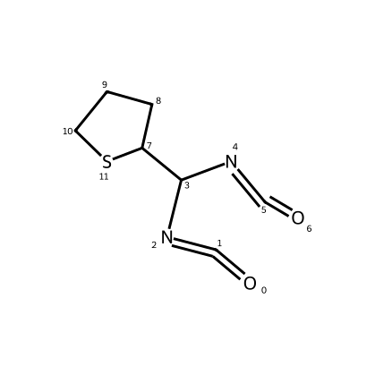 O=C=NC(N=C=O)C1CCCS1